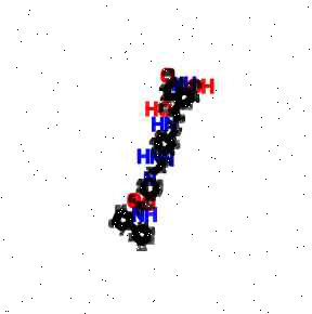 O=C(Nc1ccccc1-c1ccccc1)OC1CCN(CCc2nc3cc(CNC[C@H](O)c4ccc(O)c5[nH]c(=O)ccc45)ccc3[nH]2)CC1